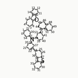 c1cc(-c2ccc3c(c2)oc2ccccc23)cc(N(c2cccc(-c3ccc4sc5ccccc5c4c3)c2)c2cccc(-c3cccc4ccccc34)c2)c1